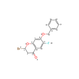 O=C1CC(Br)Oc2cc(OCc3ccccc3)c(F)cc21